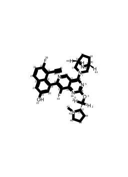 [2H]C([2H])(Oc1nc(N2C[C@H]3CC[C@@H](C2)N3)c2cnc(-c3cc(O)cc4ccc(F)c(C#C)c34)c(F)c2n1)[C@@H]1CCCN1C